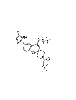 CC(C)(C)OC(=O)N1CCC2(C=C(O[Si](C)(C)C(C)(C)C)c3cc(-c4noc(=O)[nH]4)ccc3O2)CC1